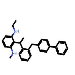 CCNc1cccc(NC)c1C(C)c1ccccc1Cc1ccc(-c2ccccc2)cc1